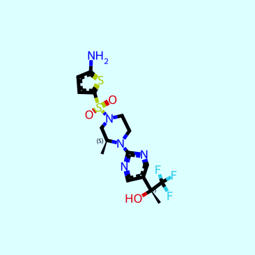 C[C@H]1CN(S(=O)(=O)c2ccc(N)s2)CCN1c1ncc([C@@](C)(O)C(F)(F)F)cn1